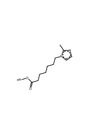 CCCOC(=O)CCCCCCn1c[c]nc1C